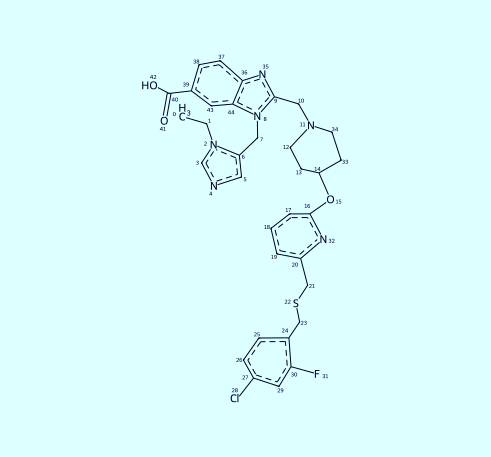 CCn1cncc1Cn1c(CN2CCC(Oc3cccc(CSCc4ccc(Cl)cc4F)n3)CC2)nc2ccc(C(=O)O)cc21